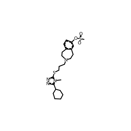 Cn1c(SCCCN2CCc3ccc(OS(C)(=O)=O)cc3CC2)nnc1C1CCCCC1